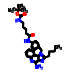 CCCCc1nc2c(N)nc3ccccc3c2n1Cc1ccc(NC(=O)CCCCNC(=O)OC(C)(C)C)cc1